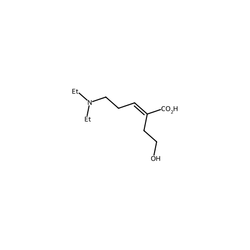 CCN(CC)CCC=C(CCO)C(=O)O